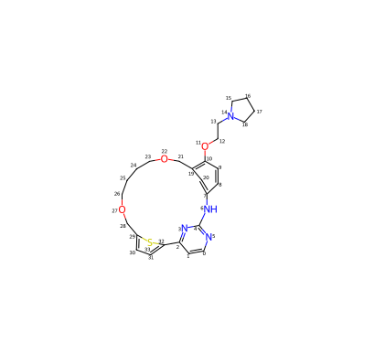 c1cc2nc(n1)Nc1ccc(OCCN3CCCC3)c(c1)COCCCCOCc1ccc-2s1